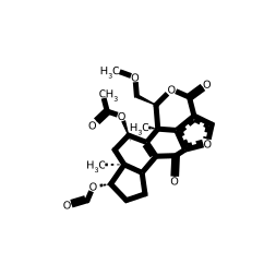 COC[C@H]1OC(=O)c2coc3c2[C@@]1(C)C1=C(C3=O)C2CC[C@H](OC=O)[C@@]2(C)C[C@H]1OC(C)=O